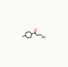 CC(=O)CCC(=O)C1CCC(C)CC1